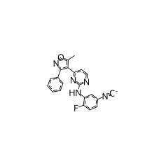 [C-]#[N+]c1ccc(F)c(Nc2nccc(-c3c(-c4ccccc4)noc3C)n2)c1